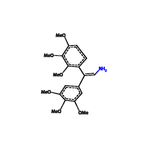 COc1cc(C(=CN)c2ccc(OC)c(OC)c2OC)cc(OC)c1OC